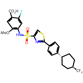 COc1cc(C(=O)O)c(F)cc1NS(=O)(=O)c1csc(-c2ccc([C@H]3CC[C@H](C(F)(F)F)CC3)cc2)n1